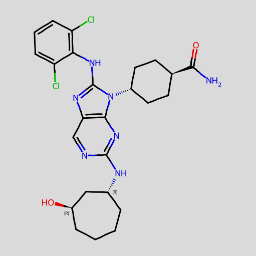 NC(=O)[C@H]1CC[C@H](n2c(Nc3c(Cl)cccc3Cl)nc3cnc(N[C@@H]4CCCC[C@@H](O)C4)nc32)CC1